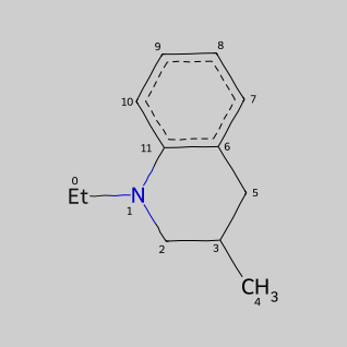 CCN1CC(C)Cc2ccccc21